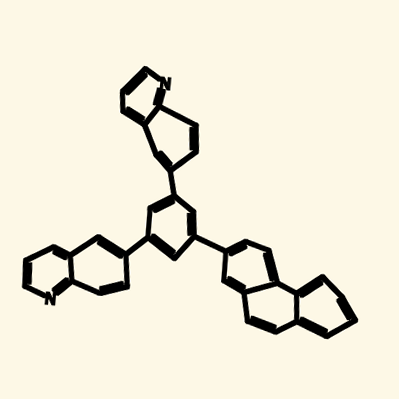 c1cnc2ccc(-c3cc(-c4ccc5ncccc5c4)cc(-c4ccc5c(ccc6ccccc65)c4)c3)cc2c1